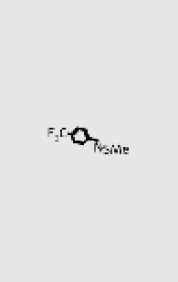 CSN=Cc1ccc(C(F)(F)F)cc1